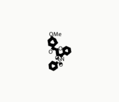 COc1ccc(C(=O)c2cc(=NS(=O)(=O)c3ccccc3)c3ccccc3o2)cc1